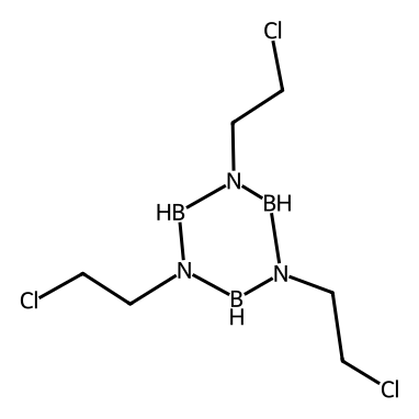 ClCCN1BN(CCCl)BN(CCCl)B1